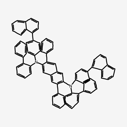 c1ccc(-c2ccccc2N(c2ccc(-c3cccc4ccccc34)cc2)c2cc3cc(-c4ccccc4)c(N(c4ccc(-c5cccc6ccccc56)cc4)c4ccccc4-c4ccccc4)cc3cc2-c2ccccc2)cc1